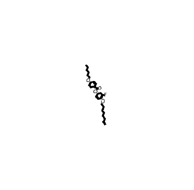 CCCCCCCCOc1ccc(OC(=O)c2ccc(OCCCCCC)cc2)cc1F